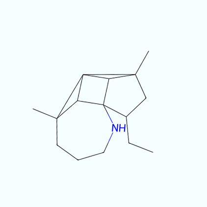 CCC1CC2(C)C3C14NCCCC1(C)C4C312